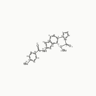 CC(C)(C)OC(=O)n1cccc1-c1ccc2nc(NC(=O)c3ccc(C(C)(C)C)cc3)cn2c1